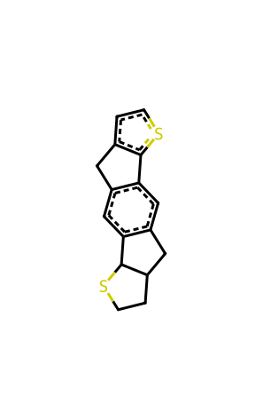 c1cc2c(s1)-c1cc3c(cc1C2)C1SCCC1C3